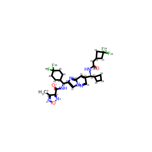 Cc1nonc1C(=O)N[C@H](c1cn2ncc([C@@H](NC(=O)CC3CC(F)(F)C3)C3CCC3)cc2n1)C1CCC(F)(F)CC1